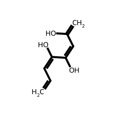 C=C/C=C(O)\C(O)=C/C(=C)O